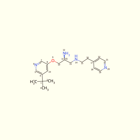 CC(C)(C)c1cncc(OC[C@@H](N)CNCCc2ccncc2)c1